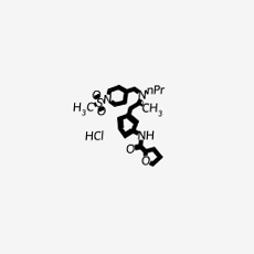 CCCN(CC1CCN(S(C)(=O)=O)CC1)[C@@H](C)Cc1cccc(NC(=O)C2CCCO2)c1.Cl